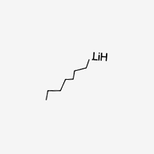 [CH2]CCCCCCC.[LiH]